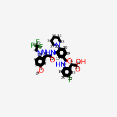 COc1ccc2c(c1)c(C(=O)Nc1cc(C(=O)Nc3ccc(F)cc3CC(=O)O)ccc1N1CCCCC1)nn2CC(F)(F)F